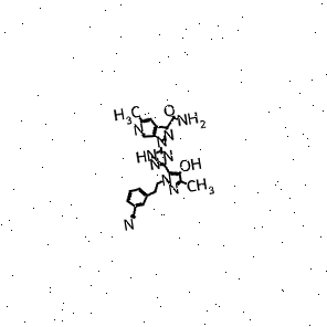 Cc1cc2c(C(N)=O)nn(-c3nc(-c4c(O)c(C)nn4CCc4cccc(C#N)c4)n[nH]3)c2cn1